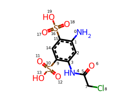 Nc1cc(NC(=O)CCl)c(S(=O)(=O)O)cc1S(=O)(=O)O